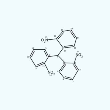 O=[N+]([O-])c1ccccc1C(c1ccccc1[N+](=O)[O-])c1ccccc1[N+](=O)[O-]